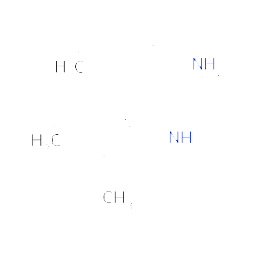 C/C(=C/N)C(=N)C(C)C